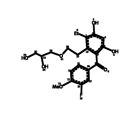 CCc1c(O)cc(O)c(C(=O)c2ccc(OC)c(F)c2)c1CCOCC(O)CO